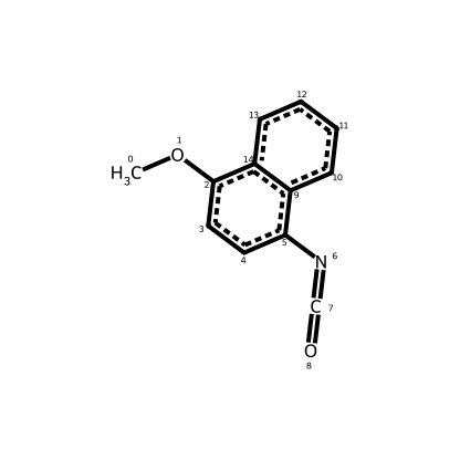 COc1ccc(N=C=O)c2ccccc12